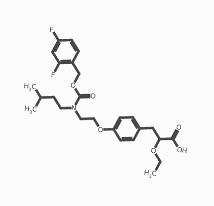 CCOC(Cc1ccc(OCCN(CCC(C)C)C(=O)OCc2ccc(F)cc2F)cc1)C(=O)O